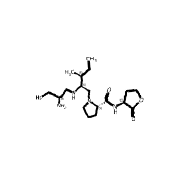 CC[C@H](C)[C@@H](CN1CCC[C@H]1C(=O)N[C@H]1CCOC1=O)NC[C@@H](N)CS